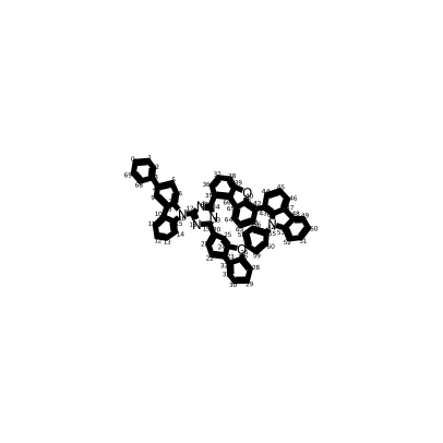 c1ccc(-c2ccc3c(c2)c2ccccc2n3-c2nc(-c3ccc4c(c3)oc3ccccc34)nc(-c3cccc4oc5c(-c6cccc7c8ccccc8n(-c8ccccc8)c67)cccc5c34)n2)cc1